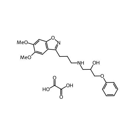 COc1cc2onc(CCCNCC(O)COc3ccccc3)c2cc1OC.O=C(O)C(=O)O